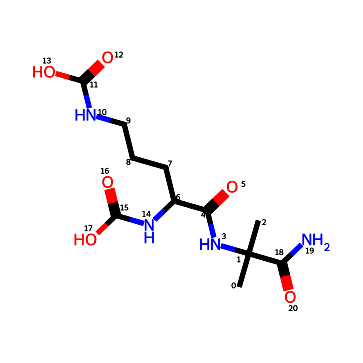 CC(C)(NC(=O)C(CCCNC(=O)O)NC(=O)O)C(N)=O